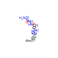 CCc1cc(Nc2nccn3c(-c4ccc(OC)c(F)c4F)cnc23)ccc1C(=O)NCCNC(=O)NCCN